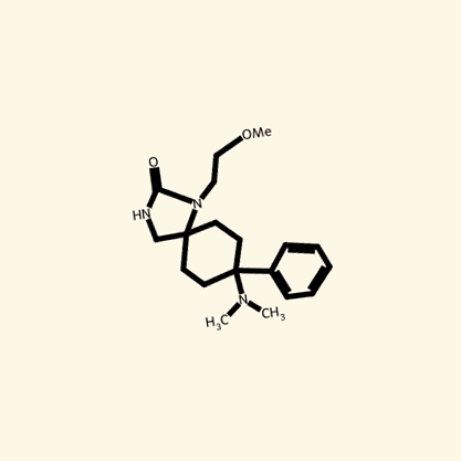 COCCN1C(=O)NCC12CCC(c1ccccc1)(N(C)C)CC2